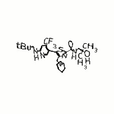 CC(C)(C)CNc1cc(C(F)(F)F)c(-c2sc(C(=O)NCC(C)(C)O)nc2CN2C3CCC2CC3)cn1